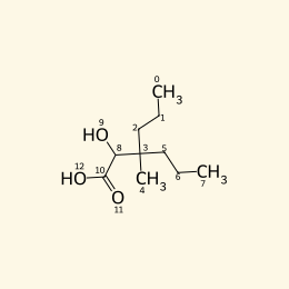 CCCC(C)(CCC)C(O)C(=O)O